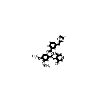 COc1ccc([C@H](Cc2c(Cl)cncc2Cl)OC(=O)c2cccc(CC3OCCO3)c2)cc1OC